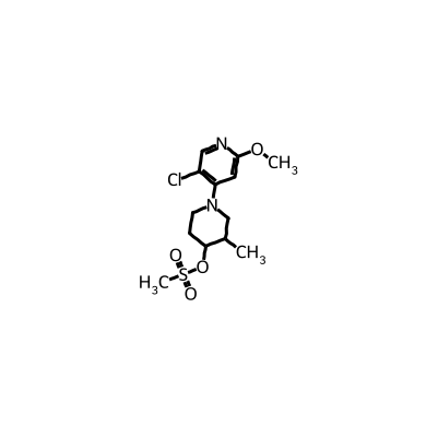 COc1cc(N2CCC(OS(C)(=O)=O)C(C)C2)c(Cl)cn1